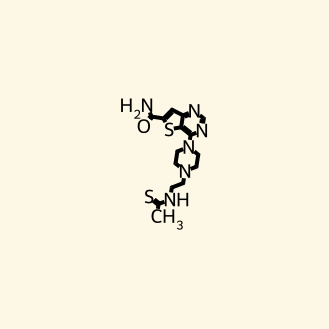 CC(=S)NCCN1CCN(c2ncnc3cc(C(N)=O)sc23)CC1